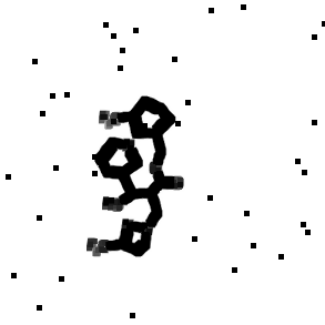 O=C(OCc1cccc(C(F)(F)F)c1)C(Cn1ccc(C(F)(F)F)n1)C(O)c1cccnc1